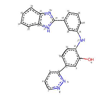 Oc1cc(-c2cccnn2)ccc1Nc1cccc(-c2nc3ccccc3[nH]2)c1